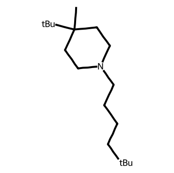 CC(C)(C)CCCCN1CCC(C)(C(C)(C)C)CC1